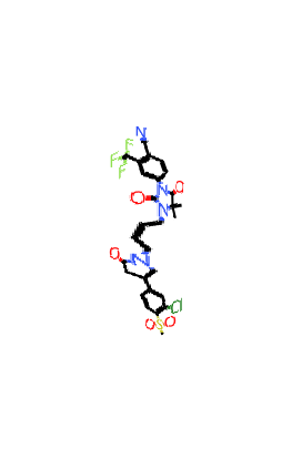 CC1(C)C(=O)N(c2ccc(C#N)c(C(F)(F)F)c2)C(=O)N1C/C=C\CN1CC(c2ccc(S(C)(=O)=O)c(Cl)c2)CC1=O